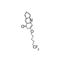 O=C1CC(OCCCCCC(F)(F)F)=Cc2nc3ccccc3cc21